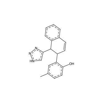 Cc1ccc(O)c(C2C=Cc3ccccc3C2c2c[nH]nn2)c1